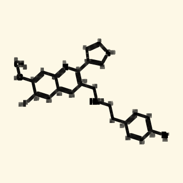 COc1cc2nc(-c3ccsc3)c(CNCCc3ccc(Br)cc3)cc2cc1F